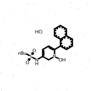 CCCCS(=O)(=O)NC1=CC=C(c2cccc3ccccc23)N(O)C1.Cl